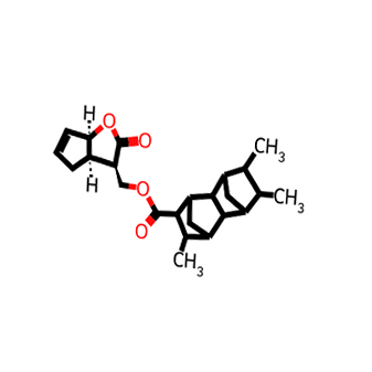 CC1C(C)C2CC1C1C3CC(C(C(=O)OC[C@@H]4C(=O)O[C@@H]5C=CC[C@H]45)C3C)C21